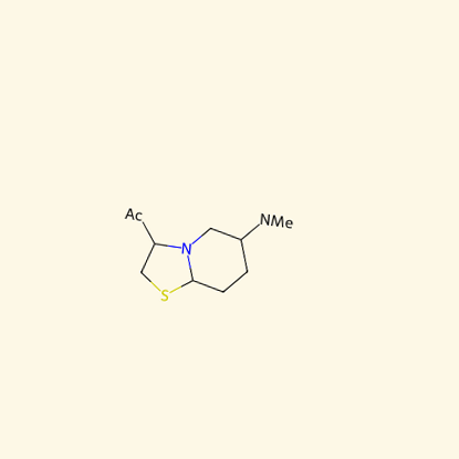 CNC1CCC2SCC(C(C)=O)N2C1